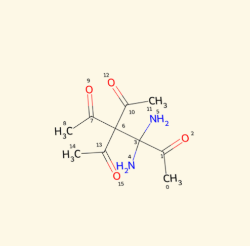 CC(=O)C(N)(N)C(C(C)=O)(C(C)=O)C(C)=O